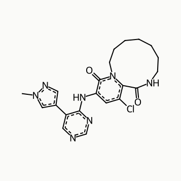 Cn1cc(-c2cncnc2Nc2cc(Cl)c3n(c2=O)CCCCCCCNC3=O)cn1